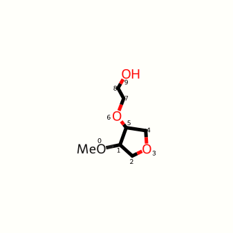 COC1COCC1OCCO